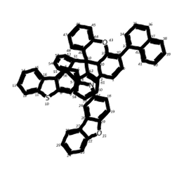 C1=CC(N(c2ccc3c(c2)sc2ccccc23)c2ccc3oc4ccccc4c3c2)C2C(=C1c1cccc3ccccc13)Oc1ccccc1C21c2ccccc2-c2ccccc21